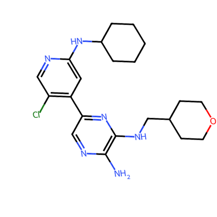 Nc1ncc(-c2cc(NC3CCCCC3)ncc2Cl)nc1NCC1CCOCC1